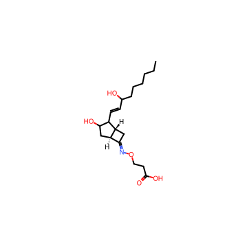 CCCCCCC(O)C=CC1C(O)C[C@@H]2C(=NOCCC(=O)O)C[C@@H]12